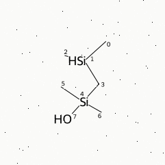 C[SiH](C)C[Si](C)(C)O